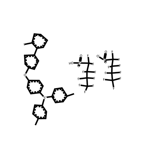 Cc1ccc([S+](c2ccc(C)cc2)c2ccc(Oc3ccc(-c4ccccc4I)cc3)cc2)cc1.O=S(=O)(O)C(F)(F)C(F)(F)C(F)(F)C(F)(F)F.O=S(=O)([O-])C(F)(F)C(F)(F)C(F)(F)C(F)(F)F